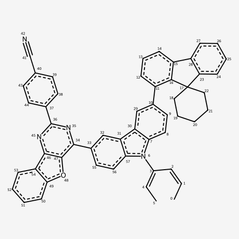 C/C=C\C(=C/C)n1c2ccc(-c3cccc4c3C3(CCCCC3)c3ccccc3-4)cc2c2cc(-c3nc(-c4ccc(C#N)cc4)nc4c3oc3ccccc34)ccc21